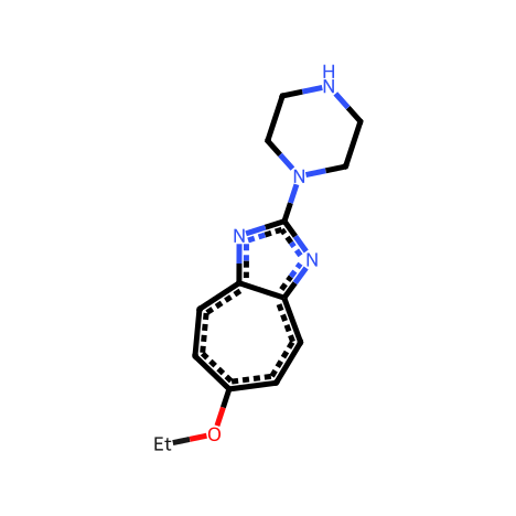 CCOc1ccc2nc(N3CCNCC3)nc-2cc1